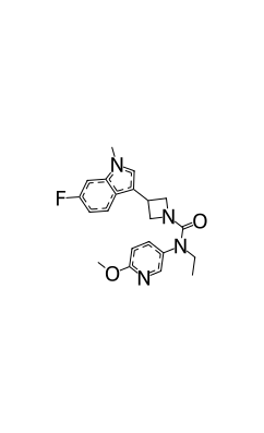 CCN(C(=O)N1CC(c2cn(C)c3cc(F)ccc23)C1)c1ccc(OC)nc1